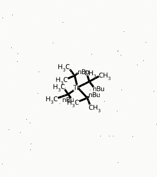 CCCC[C](C)(C)[Ti]([C](C)(C)CCCC)([C](C)(C)CCCC)[C](C)(C)CCCC